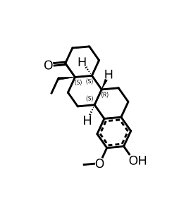 CC[C@]12CC[C@@H]3c4cc(OC)c(O)cc4CC[C@H]3[C@@H]1CCCC2=O